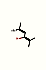 CCCC/C(C)=C\C(Br)=C(C)C